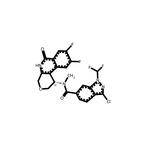 CN(C(=O)c1ccc2c(Cl)nn(C(F)F)c2c1)[C@@H]1COCc2[nH]c(=O)c3cc(F)c(F)cc3c21